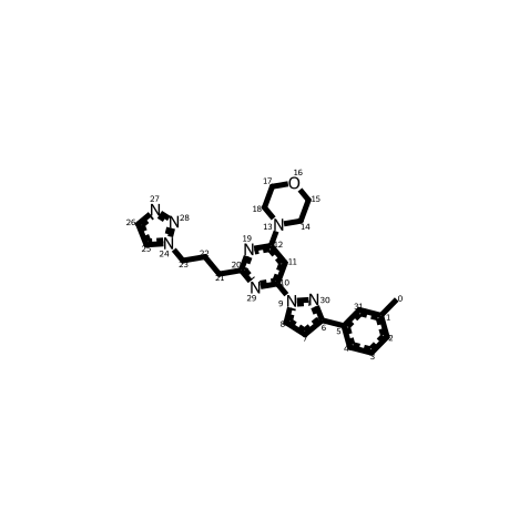 Cc1cccc(-c2ccn(-c3cc(N4CCOCC4)nc(CCCn4ccnn4)n3)n2)c1